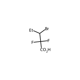 CCC(Br)C(F)(F)C(=O)O